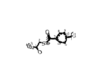 CC(C)(C)C(=O)C[Se]C(=O)c1ccc(F)cc1